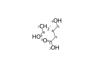 O=C(O)CCCO.[CH2]CO